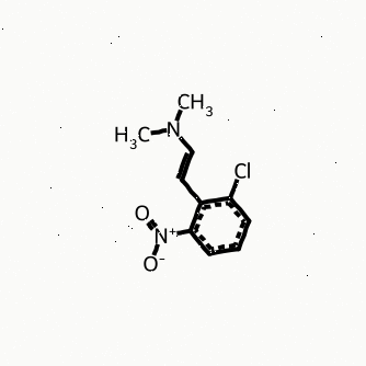 CN(C)C=Cc1c(Cl)cccc1[N+](=O)[O-]